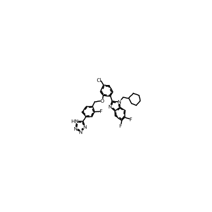 Fc1cc2nc(-c3ccc(Cl)cc3OCc3ccc(-c4nnn[nH]4)cc3F)n(CC3CCCCC3)c2cc1F